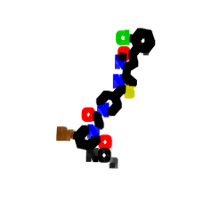 O=C(Cn1cc(Br)cc([N+](=O)[O-])c1=O)N1CCC(c2nc(C3=NOC(c4[c]cccc4Cl)C3)cs2)CC1